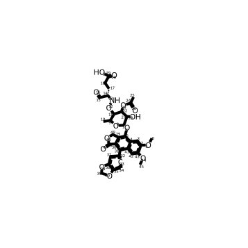 COc1cc2c(OC3OC(C)C(ON[C@H](C=O)CCC(=O)O)C(OC(C)=O)C3O)c3c(c(-c4ccc5c(c4)OCO5)c2cc1OC)C(=O)OC3